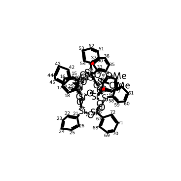 CO[Si]1(OC)O[Si]2(c3ccccc3)O[Si]3(c4ccccc4)O[Si]4(c5ccccc5)O[Si](C)(C)O[Si]5(c6ccccc6)O[Si](c6ccccc6)(O[Si](c6ccccc6)(O1)O[Si](c1ccccc1)(O5)O[Si](c1ccccc1)(O4)O2)O3